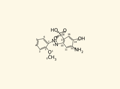 COc1ccccc1N=Nc1cc(N)c(O)cc1S(=O)(=O)O